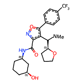 CNC(c1c(C(=O)N[C@@H]2CCC[C@H](O)C2)noc1-c1ccc(C(F)(F)F)cc1)[C@@H]1CCCO1